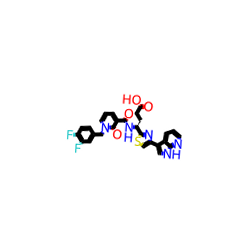 O=C(O)CC[C@@H](NC(=O)c1cccn(Cc2ccc(F)c(F)c2)c1=O)c1nc(-c2c[nH]c3ncccc23)cs1